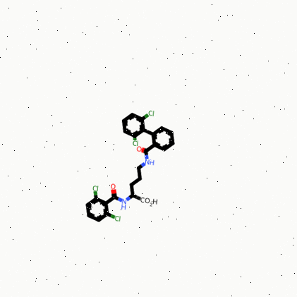 O=C(NCCCC(NC(=O)c1c(Cl)cccc1Cl)C(=O)O)c1ccccc1-c1c(Cl)cccc1Cl